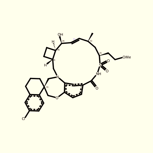 COCC[C@@H]1C[C@H](C)/C=C/[C@H](O)[C@@H]2CC[C@H]2CN2C[C@@]3(CCCc4cc(Cl)ccc43)COc3ccc(cc32)C(=O)NS1(=O)=O